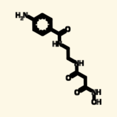 Nc1ccc(C(=O)NCCNC(=O)CC(=O)NO)cc1